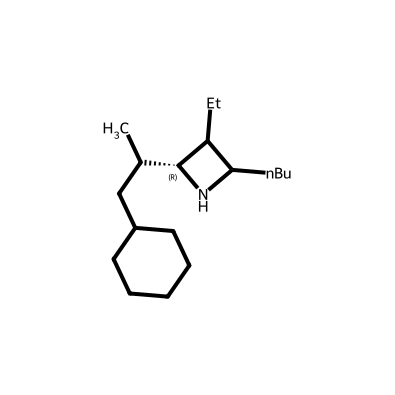 CCCCC1N[C@H](C(C)CC2CCCCC2)C1CC